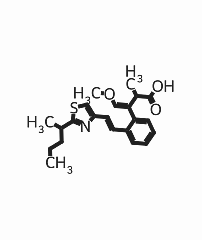 CCCC(C)c1nc(/C=C/c2ccccc2C(=COC)C(C)C(=O)O)cs1